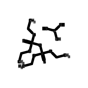 CCOP(=S)(OCC)OP(=S)(OCC)OCC.OP(O)O